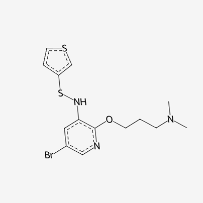 CN(C)CCCOc1ncc(Br)cc1NSc1ccsc1